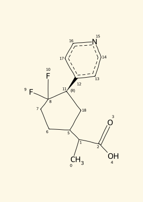 CC(C(=O)O)C1CCC(F)(F)[C@@H](c2ccncc2)C1